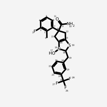 Cc1c(F)cccc1C1(C(N)=O)CC2=C(C1)N(O)C(Cc1cccc(C(F)(F)F)c1)S2